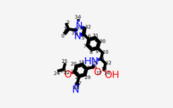 C=C(C)c1nc(-c2ccc(CC(CCO)NC(=O)c3ccc(OC(C)C)c(C#N)c3)cc2)cn1C